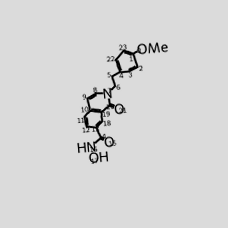 COc1ccc(CCn2ccc3ccc(C(=O)NO)cc3c2=O)cc1